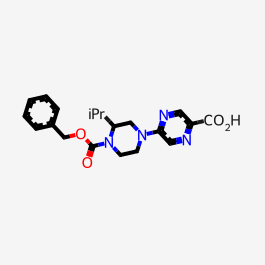 CC(C)C1CN(c2cnc(C(=O)O)cn2)CCN1C(=O)OCc1ccccc1